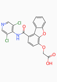 O=C(O)COc1ccc(C(=O)Nc2c(Cl)cncc2Cl)c2c1oc1ccccc12